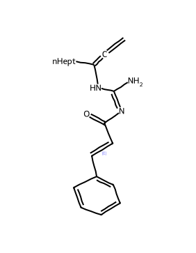 C=C=C(CCCCCCC)NC(N)=NC(=O)/C=C/c1ccccc1